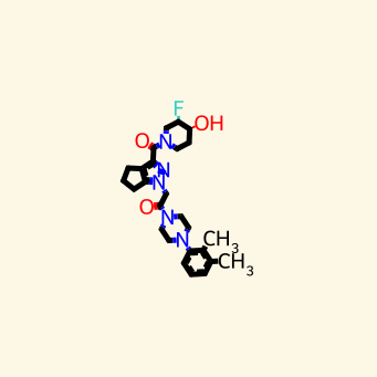 Cc1cccc(N2CCN(C(=O)Cn3nc(C(=O)N4CC[C@@H](O)[C@H](F)C4)c4c3CCC4)CC2)c1C